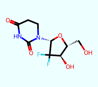 O=C1CCN([C@@H]2O[C@H](CO)[C@@H](O)C2(F)F)C(=O)N1